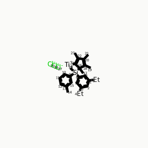 CCc1cc(CC)cc([Si](C)(c2cccc(C)c2)C2(C)C(C)=C(C)C(C)=[C]2[Ti+3])c1.[Cl-].[Cl-].[Cl-]